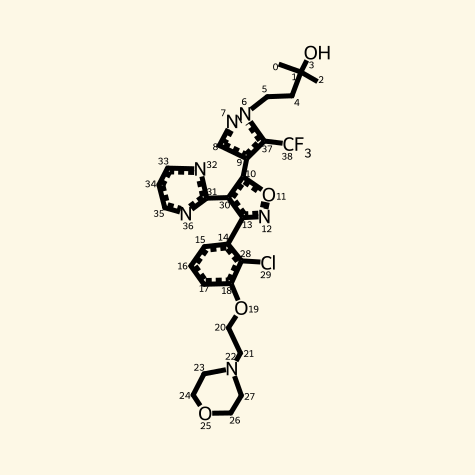 CC(C)(O)CCn1ncc(-c2onc(-c3cccc(OCCN4CCOCC4)c3Cl)c2-c2ncccn2)c1C(F)(F)F